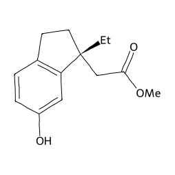 CC[C@]1(CC(=O)OC)CCc2ccc(O)cc21